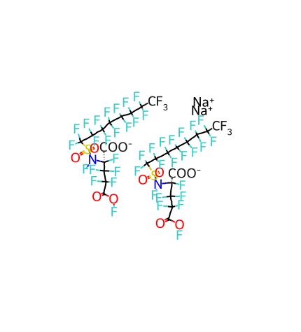 O=C(OF)C(F)(F)C(F)(F)[C@@](F)(C(=O)[O-])N(F)S(=O)(=O)C(F)(F)C(F)(F)C(F)(F)C(F)(F)C(F)(F)C(F)(F)C(F)(F)C(F)(F)F.O=C(OF)C(F)(F)C(F)(F)[C@@](F)(C(=O)[O-])N(F)S(=O)(=O)C(F)(F)C(F)(F)C(F)(F)C(F)(F)C(F)(F)C(F)(F)C(F)(F)C(F)(F)F.[Na+].[Na+]